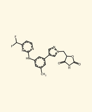 Cc1cc(Nc2nccc(C(F)F)n2)cc(-c2cnn(CC3OC(=O)NC3=O)c2)c1